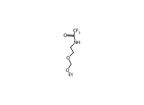 CCOCOCCNC(=O)C(F)(F)F